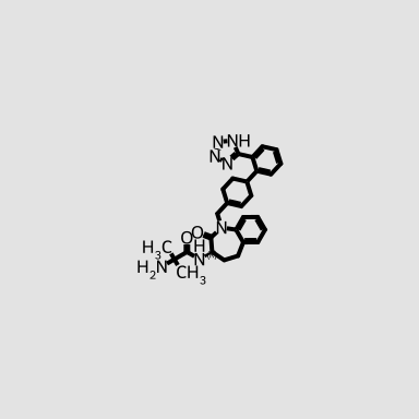 CC(C)(N)C(=O)N[C@@H]1CCc2ccccc2N(CC2=CCC(c3ccccc3-c3nnn[nH]3)CC2)C1=O